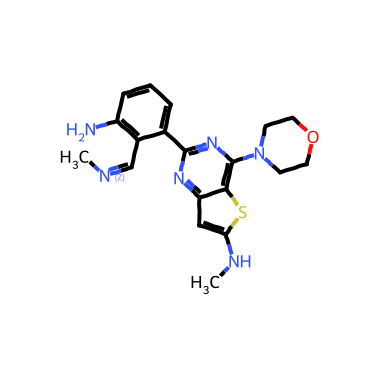 C/N=C\c1c(N)cccc1-c1nc(N2CCOCC2)c2sc(NC)cc2n1